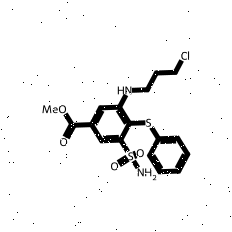 COC(=O)c1cc(NCCCCl)c(Sc2ccccc2)c(S(N)(=O)=O)c1